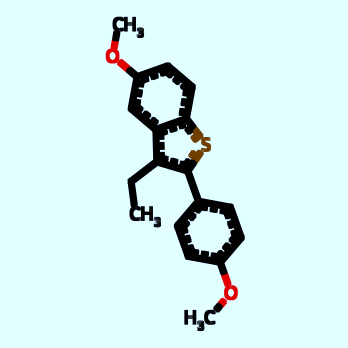 CCc1c(-c2ccc(OC)cc2)sc2ccc(OC)cc12